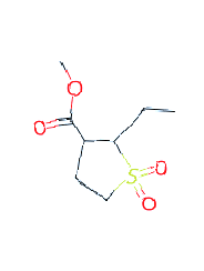 CCC1C(C(=O)OC)CCS1(=O)=O